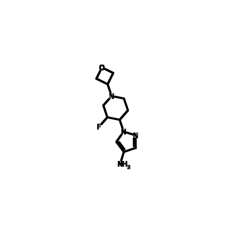 Nc1cnn(C2CCN(C3COC3)CC2F)c1